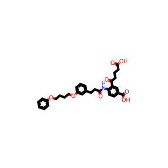 O=C(O)CCCC(=O)c1cc(C(=O)O)ccc1NC(=O)CCc1cccc(OCCCCOc2ccccc2)c1